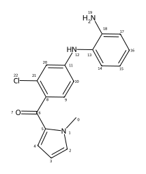 Cn1cccc1C(=O)c1ccc(Nc2ccccc2N)cc1Cl